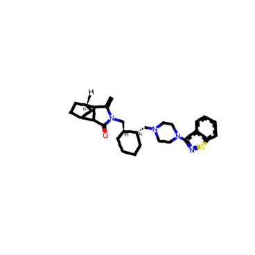 C=C1C2C(C(=O)N1C[C@@H]1CCCC[C@H]1CN1CCN(c3nsc4ccccc34)CC1)C1CC[C@H]2C1